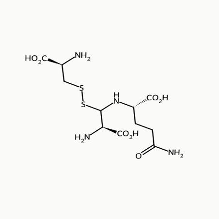 NC(=O)CC[C@H](NC(SSC[C@H](N)C(=O)O)[C@H](N)C(=O)O)C(=O)O